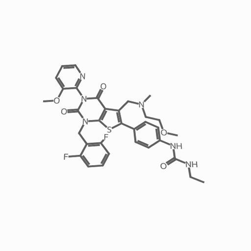 CCNC(=O)Nc1ccc(-c2sc3c(c2CN(C)CCOC)c(=O)n(-c2ncccc2OC)c(=O)n3Cc2c(F)cccc2F)cc1